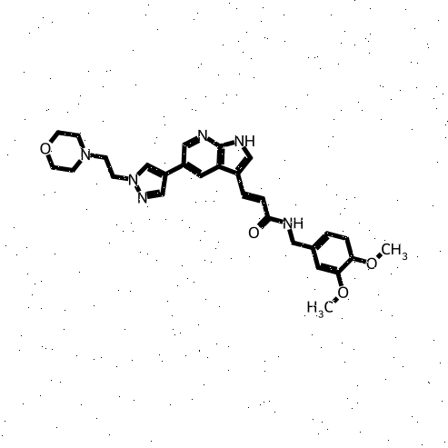 COC1=CC(CNC(=O)/C=C/c2c[nH]c3ncc(-c4cnn(CCN5CCOCC5)c4)cc23)=CCC1OC